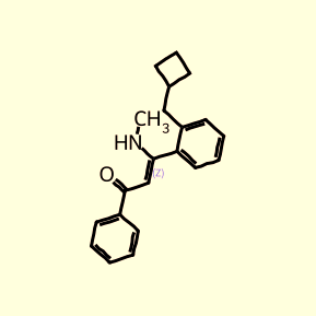 CN/C(=C\C(=O)c1ccccc1)c1ccccc1CC1CCC1